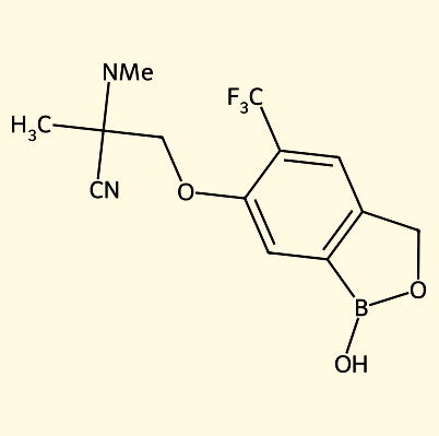 CNC(C)(C#N)COc1cc2c(cc1C(F)(F)F)COB2O